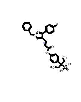 CCC(CC)(c1ccc(NC(=O)/C=C/c2cn(Cc3ccccc3)nc2-c2ccc(F)cc2)cc1)P(=O)(O)O